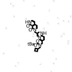 C/C(=C\n1cc(CN(CC2CCC2)C(=O)OC(C)(C)C)ccc1=N)Cn1ccc2cc[nH]c(=O)c2c1=O